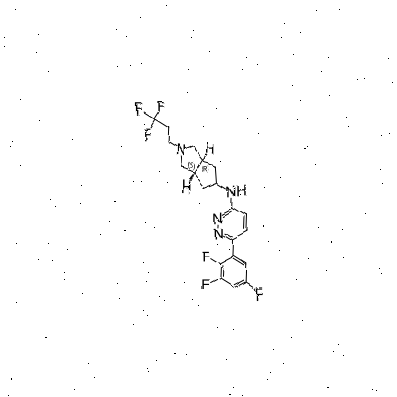 Fc1cc(F)c(F)c(-c2ccc(NC3C[C@@H]4CN(CCC(F)(F)F)C[C@@H]4C3)nn2)c1